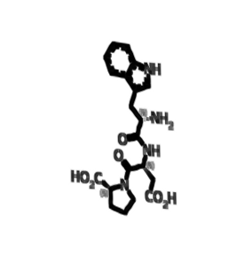 N[C@@H](Cc1c[nH]c2ccccc12)C(=O)N[C@@H](CC(=O)O)C(=O)N1CCC[C@H]1C(=O)O